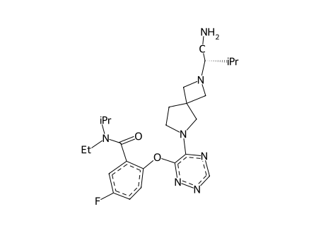 CCN(C(=O)c1cc(F)ccc1Oc1nncnc1N1CCC2(C1)CN([C@H](CN)C(C)C)C2)C(C)C